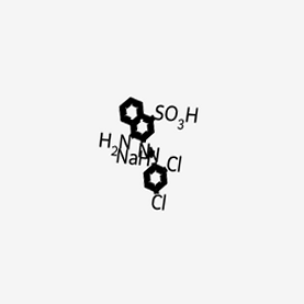 Nc1c(N=Nc2ccc(Cl)cc2Cl)cc(S(=O)(=O)O)c2ccccc12.[NaH]